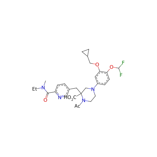 CCN(C)C(=O)c1ccc(CC2(C(=O)O)CN(c3ccc(OC(F)F)c(OCC4CC4)c3)CCN2C(C)=O)cn1